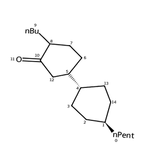 CCCCC[C@H]1CC[C@H](C2CCC(CCCC)C(=O)C2)CC1